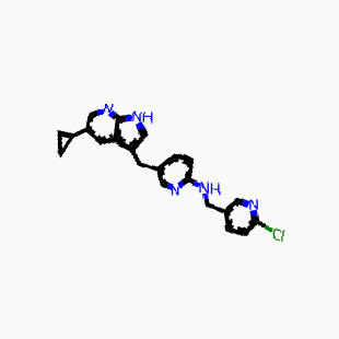 Clc1ccc(CNc2ccc(Cc3c[nH]c4ncc(C5CC5)cc34)cn2)cn1